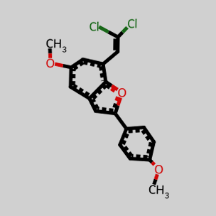 COc1ccc(-c2cc3cc(OC)cc(C=C(Cl)Cl)c3o2)cc1